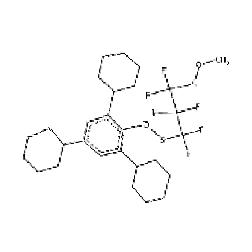 COSC(F)(F)C(F)(F)C(F)(F)SOc1c(C2CCCCC2)cc(C2CCCCC2)cc1C1CCCCC1